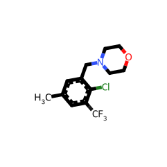 Cc1cc(CN2CCOCC2)c(Cl)c(C(F)(F)F)c1